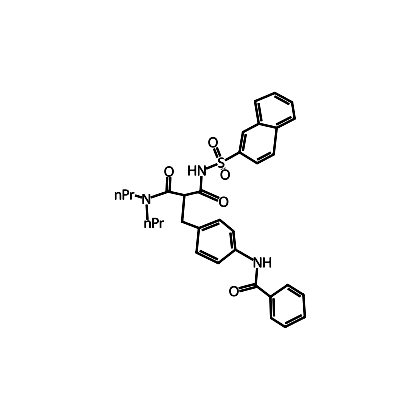 CCCN(CCC)C(=O)C(Cc1ccc(NC(=O)c2ccccc2)cc1)C(=O)NS(=O)(=O)c1ccc2ccccc2c1